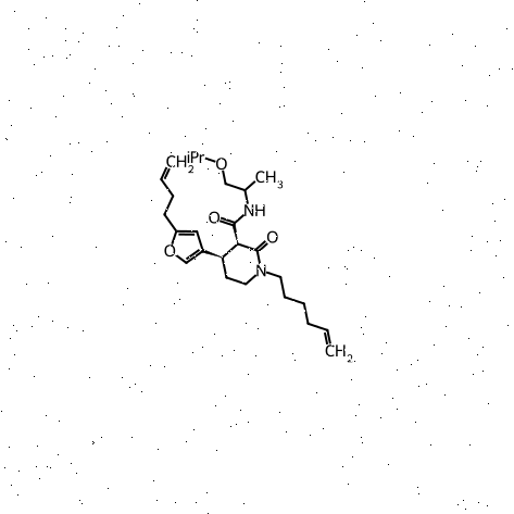 C=CCCCCN1CC[C@@H](c2coc(CCC=C)c2)[C@@H](C(=O)NC(C)COC(C)C)C1=O